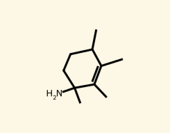 CC1=C(C)C(C)(N)CCC1C